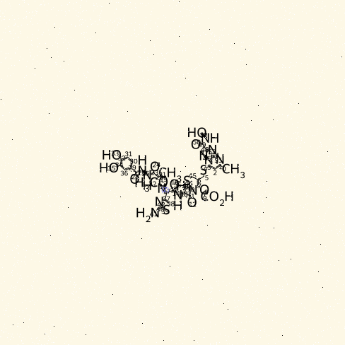 Cc1cc(SCC2=C(OC(=O)O)N3C(=O)[C@@H](NC(=O)/C(=N\OC(C)(C)C(=O)NNC(=O)c4ccc(O)c(O)c4)c4csc(N)n4)[C@H]3SC2)n2nc(C(=O)NO)nc2n1